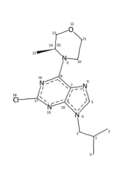 CC(C)Cn1cnc2c(N3CCOC[C@@H]3C)nc(Cl)nc21